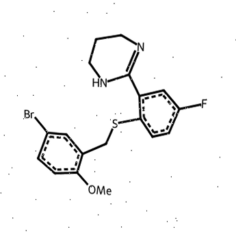 COc1ccc(Br)cc1CSc1ccc(F)cc1C1=NCCCN1